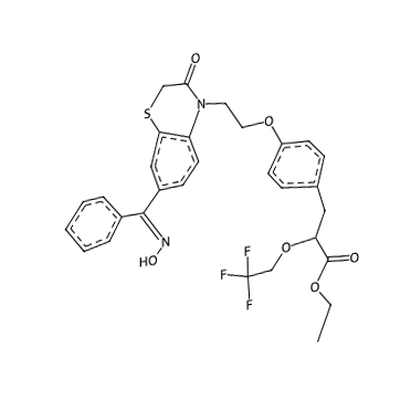 CCOC(=O)C(Cc1ccc(OCCN2C(=O)CSc3cc(C(=NO)c4ccccc4)ccc32)cc1)OCC(F)(F)F